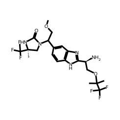 COCC(c1ccc2[nH]c([C@@H](N)COC(C)(C)C(F)(F)F)nc2c1)N1C[C@@](C)(C(F)(F)F)NC1=O